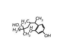 CC(CC(C)(N)C(=O)O)C(C)c1ccc(O)cc1O